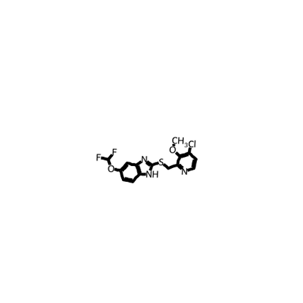 COc1c(Cl)ccnc1CSc1nc2cc(OC(F)F)ccc2[nH]1